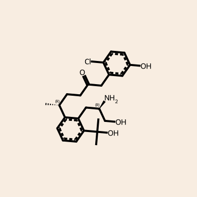 C[C@H](CCC(=O)Cc1cc(O)ccc1Cl)c1cccc(C(C)(C)O)c1C[C@@H](N)CO